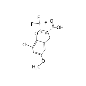 COc1cc(Cl)c2c(c1)C[C@@H](C(=O)O)[C@@H](C(F)(F)F)O2